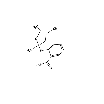 CCOC(C)(OCC)Sc1ccccc1C(=O)O